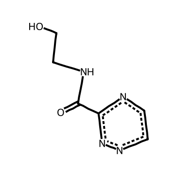 O=C(NCCO)c1nccnn1